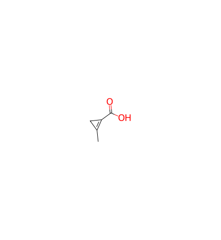 CC1=C(C(=O)O)C1